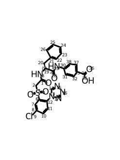 O=C(CS(=O)(=O)c1cc(Cl)ccc1-n1cnnn1)N[C@@H](Cc1ccccc1)C(=O)Nc1ccc(C(=O)O)cc1